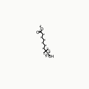 COC(=O)CCCCCCC(C)(C)[Si](C)(C)O